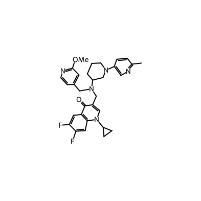 COc1cc(CN(Cc2cn(C3CC3)c3cc(F)c(F)cc3c2=O)C2CCCN(c3ccc(C)nc3)C2)ccn1